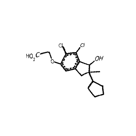 CC1(C2CCCC2)Cc2cc(OCC(=O)O)c(Cl)c(Cl)c2C1O